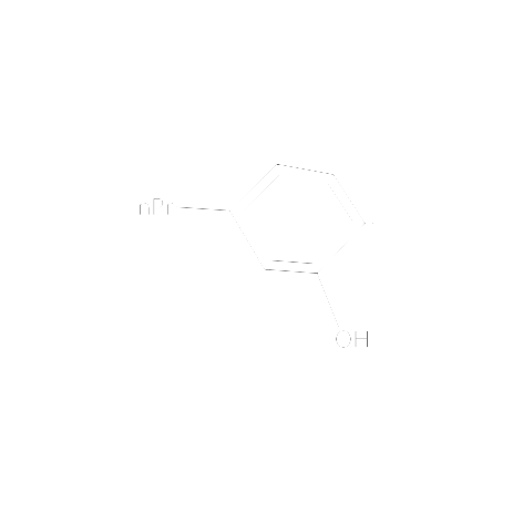 CCCc1cc[c]c(O)c1